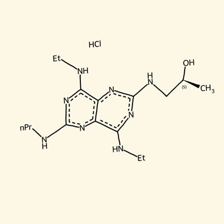 CCCNc1nc(NCC)c2nc(NC[C@H](C)O)nc(NCC)c2n1.Cl